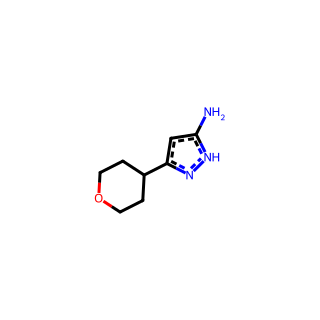 Nc1cc(C2CCOCC2)n[nH]1